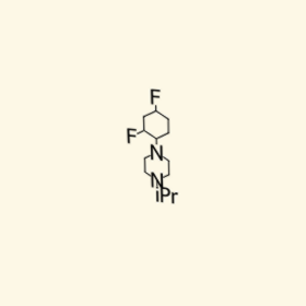 CC(C)N1CCN(C2CCC(F)CC2F)CC1